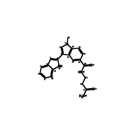 Cn1cc(-c2cc3cccnc3[nH]2)c2cc(C(=O)NCCC(N)=O)ccc21